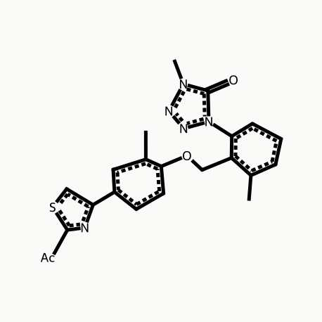 CC(=O)c1nc(-c2ccc(OCc3c(C)cccc3-n3nnn(C)c3=O)c(C)c2)cs1